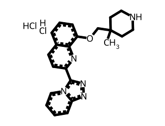 CC1(COc2cccc3ccc(-c4nnc5ccccn45)nc23)CCNCC1.Cl.Cl